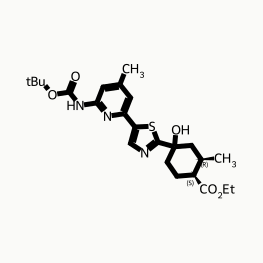 CCOC(=O)[C@H]1CCC(O)(c2ncc(-c3cc(C)cc(NC(=O)OC(C)(C)C)n3)s2)C[C@H]1C